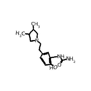 CC1CN(CCc2ccc(O)c(NC(N)=O)c2)CC1C